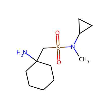 CN(C1CC1)S(=O)(=O)CC1(N)CCCCC1